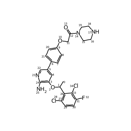 CC(Oc1cc(-c2ccc(OCC(=O)N3CCNCC3)cc2)cnc1N)c1c(Cl)ccc(F)c1Cl